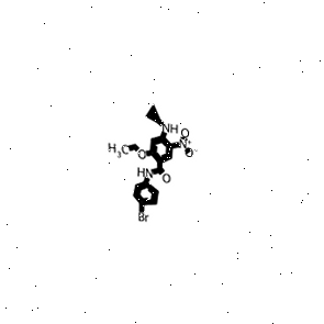 CCOc1cc(NC2CC2)c([N+](=O)[O-])cc1C(=O)Nc1ccc(Br)cc1